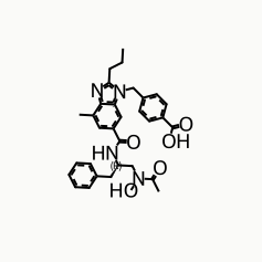 CCCc1nc2c(C)cc(C(=O)N[C@H](Cc3ccccc3)CN(O)C(C)=O)cc2n1Cc1ccc(C(=O)O)cc1